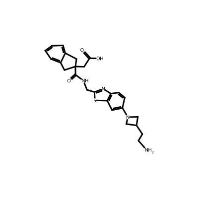 NCCC1CN(c2ccc3nc(CNC(=O)C4(CC(=O)O)Cc5ccccc5C4)sc3c2)C1